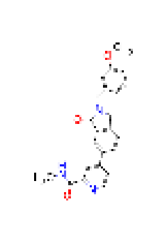 CNC(=O)c1cc(-c2ccc3c(c2)C(=O)N(Cc2cccc(OC)c2)C3)ccn1